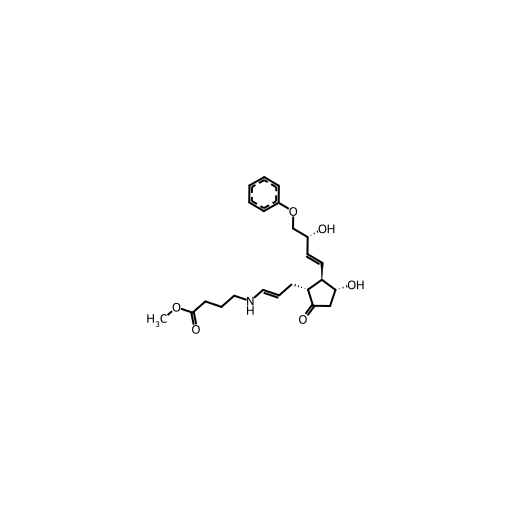 COC(=O)CCCN/C=C/C[C@H]1C(=O)C[C@@H](O)[C@@H]1/C=C/[C@@H](O)COc1ccccc1